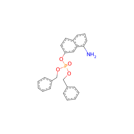 Nc1cccc2ccc(OP(=O)(OCc3ccccc3)OCc3ccccc3)cc12